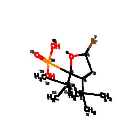 C[Si](C)(C)C1CC(Br)OC1([Si](C)(C)C)P(=O)(O)O